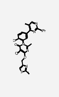 Cc1nc(COc2nc(C)n(-c3cc(-c4nc(C(C)C)ncc4C)ccc3Cl)c(=O)c2Cl)cs1